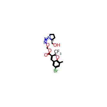 Cc1cc(Br)cc2c1O[C@H](C(F)(F)F)C(C(=O)OCO/N=N\N1CCC[C@H]1CO)=C2